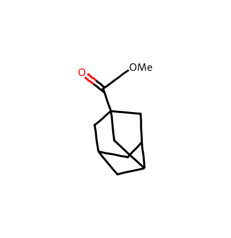 COC(=O)C12CC3CC(C1)C(C3)C2